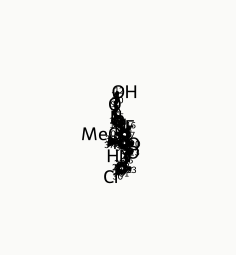 COc1c(N2CCN(CCOCCO)CC2)c(F)cc2c(=O)c(C(=O)NCc3ccc(Cl)cc3C)cn(C3CC3)c12